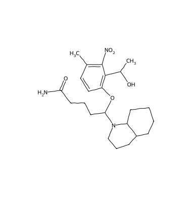 Cc1ccc(OC(CCCC(N)=O)N2CCCC3CCCCC32)c(C(C)O)c1[N+](=O)[O-]